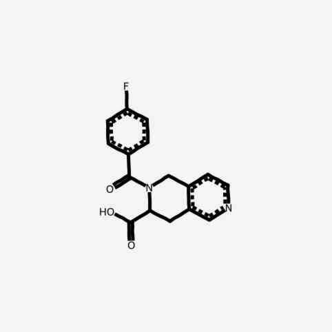 O=C(O)C1Cc2cnccc2CN1C(=O)c1ccc(F)cc1